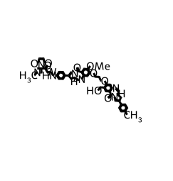 COc1cc2c(cc1OCCCOc1cc3c(cc1CO)C(=O)N1C=C(c4ccc(C)cc4)C[C@H]1C=N3)N=C[C@@H]1CC(c3ccc([NH][W][CH2]C(=O)C4(N5C(=O)C=CC5=O)CN(C)C4)cc3)=CN1C2=O